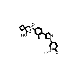 CCCn1cc(-n2cc(-c3ccc(S(=O)(=O)CC4(CO)CCC4)cc3C)cn2)ccc1=O